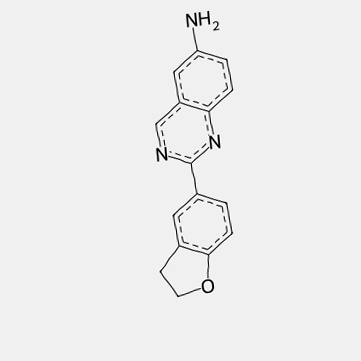 Nc1ccc2nc(-c3ccc4c(c3)CCO4)ncc2c1